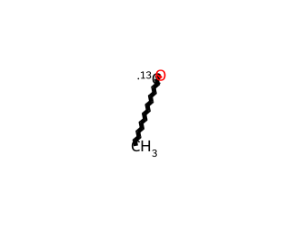 CCCCCCCCCCCCCCC[13C]=O